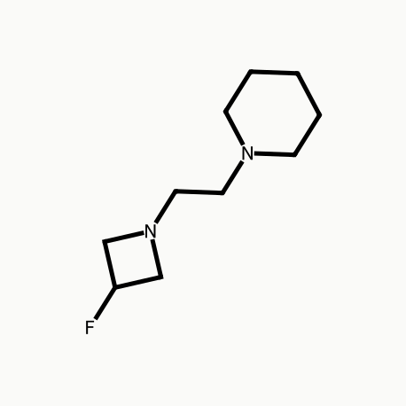 FC1CN(CCN2CCCCC2)C1